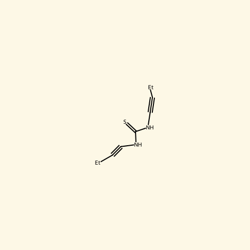 CCC#CNC(=S)NC#CCC